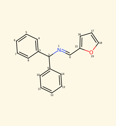 C(=NC(c1ccccc1)c1ccccc1)c1ccco1